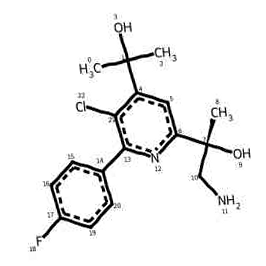 CC(C)(O)c1cc([C@](C)(O)CN)nc(-c2ccc(F)cc2)c1Cl